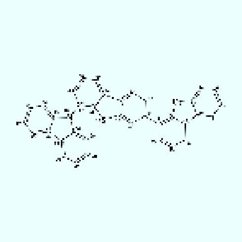 c1ccc2c(c1)oc1c(-c3ccc4c(c3)sc3c(-n5c6ccccc6c6ccccc65)cccc34)cccc12